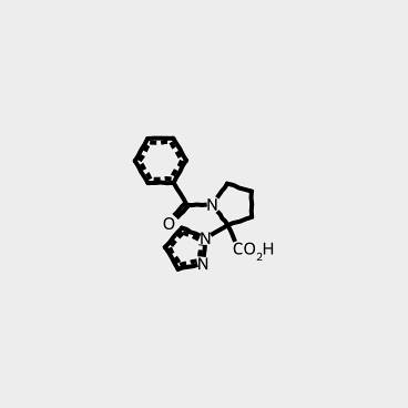 O=C(c1ccccc1)N1CCCC1(C(=O)O)n1cccn1